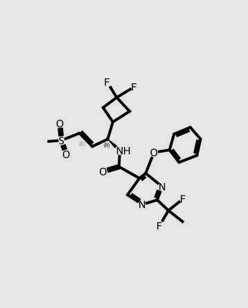 CC(F)(F)c1ncc(C(=O)N[C@@H](/C=C/S(C)(=O)=O)C2CC(F)(F)C2)c(Oc2ccccc2)n1